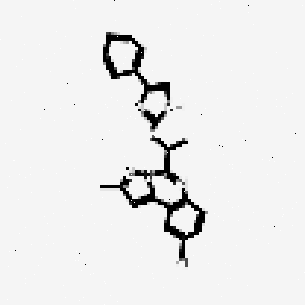 Cc1cc2c3cc(Cl)ccc3nc(C(C)Sc3nc(-c4ccccc4)c[nH]3)n2n1